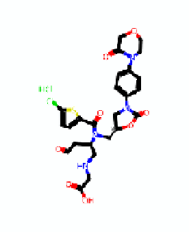 Cl.O=CCC(CNCC(=O)O)N(C[C@H]1CN(c2ccc(N3CCOCC3=O)cc2)C(=O)O1)C(=O)c1ccc(Cl)s1